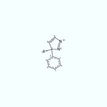 [Ir][C]1(c2ccccc2)C=CN=N1